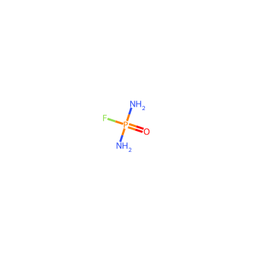 NP(N)(=O)F